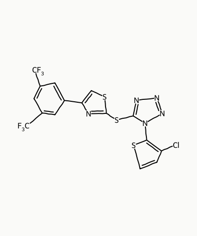 FC(F)(F)c1cc(-c2csc(Sc3nnnn3-c3sccc3Cl)n2)cc(C(F)(F)F)c1